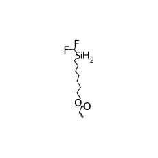 C=CC(=O)OCCCCCCCC[SiH2]C(F)F